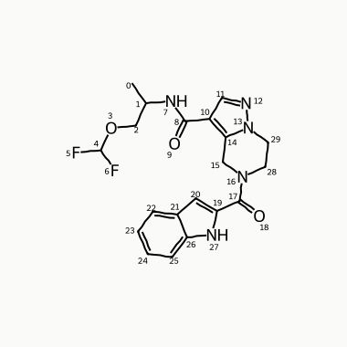 CC(COC(F)F)NC(=O)c1cnn2c1CN(C(=O)c1cc3ccccc3[nH]1)CC2